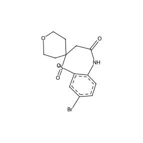 O=C1CC2(CCOCC2)S(=O)(=O)c2cc(Br)ccc2N1